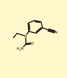 CCN(C(N)=O)c1cccc(C#N)c1